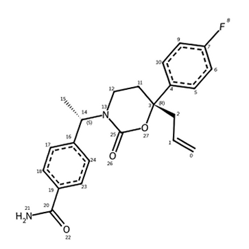 C=CC[C@]1(c2ccc(F)cc2)CCN([C@@H](C)c2ccc(C(N)=O)cc2)C(=O)O1